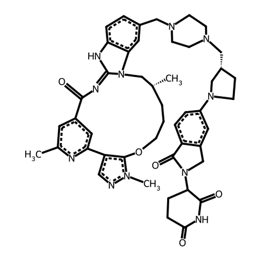 Cc1cc2cc(n1)-c1cnn(C)c1OCCC[C@@H](C)CN1/C(=N/C2=O)Nc2ccc(CN3CCN(C[C@@H]4CCN(c5ccc6c(c5)CN(C5CCC(=O)NC5=O)C6=O)C4)CC3)cc21